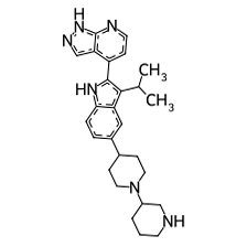 CC(C)c1c(-c2ccnc3[nH]ncc23)[nH]c2ccc(C3CCN(C4CCCNC4)CC3)cc12